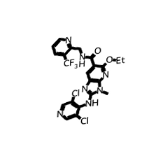 CCOc1nc2c(cc1C(=O)NCc1ncccc1C(F)(F)F)nc(Nc1c(Cl)cncc1Cl)n2C